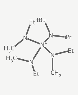 CCN(C)[N+](N(C)CC)(N(C)CC)N(C(C)C)C(C)(C)C